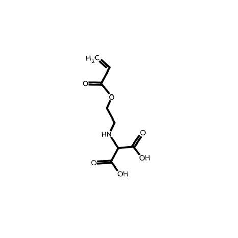 C=CC(=O)OCCNC(C(=O)O)C(=O)O